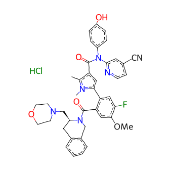 COc1cc(C(=O)N2Cc3ccccc3C[C@H]2CN2CCOCC2)c(-c2cc(C(=O)N(c3ccc(O)cc3)c3cc(C#N)ccn3)c(C)n2C)cc1F.Cl